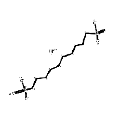 O=P([O-])([O-])CCCCCCCCCCP(=O)([O-])[O-].[Hf+4]